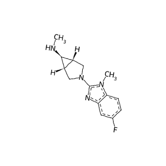 CN[C@H]1[C@@H]2CN(c3nc4cc(F)ccc4n3C)C[C@@H]21